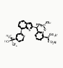 CC(C)(C)[S@@+]([O-])NC(c1cccc(N(C(=O)O)C(=O)O)n1)c1cc2cccc(-c3cc([C@](C)(O)C(F)(F)F)ccn3)c2s1